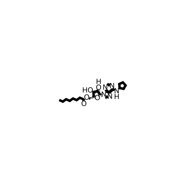 CCCCCCCC(=O)OC[C@H]1O[C@@H](n2cnc3c(NC4CCCC4)ncnc32)[C@H](O)[C@@H]1O